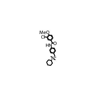 COc1ccc(C(=O)Nc2ccc(C[N+](C)(C)C3CCCCC3)cc2)cc1Cl